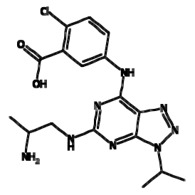 CC(N)CNc1nc(Nc2ccc(Cl)c(C(=O)O)c2)c2nnn(C(C)C)c2n1